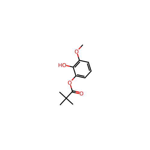 COc1cccc(OC(=O)C(C)(C)C)c1O